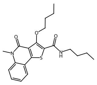 CCCCNC(=O)c1sc2c(c1OCCCC)c(=O)n(C)c1ccccc21